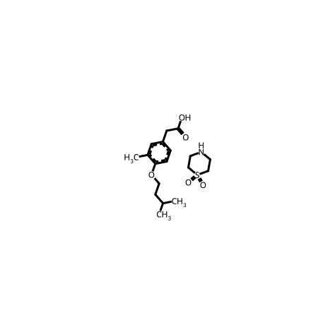 Cc1cc(CC(=O)O)ccc1OCCC(C)C.O=S1(=O)CCNCC1